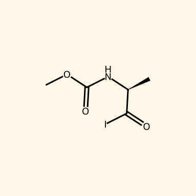 COC(=O)N[C@@H](C)C(=O)I